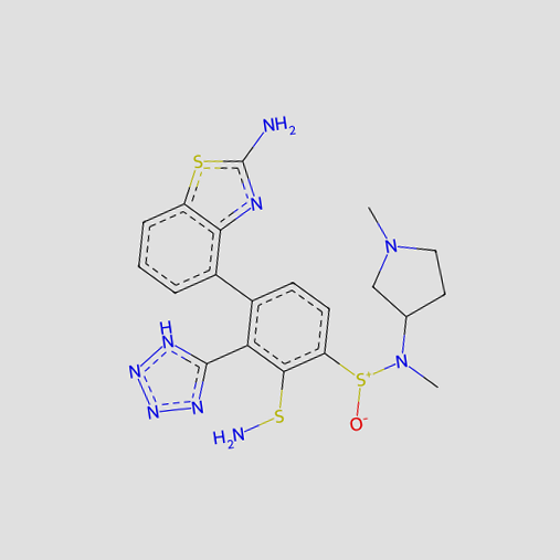 CN1CCC(N(C)[S+]([O-])c2ccc(-c3cccc4sc(N)nc34)c(-c3nnn[nH]3)c2SN)C1